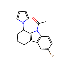 CC(=O)n1c2c(c3cc(Br)ccc31)CCCC2n1cccc1